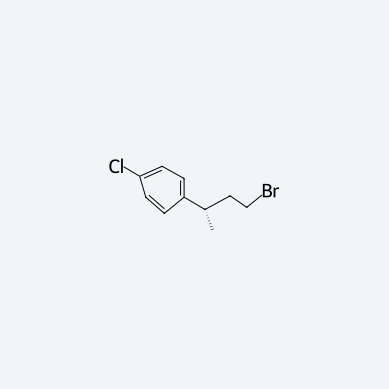 C[C@@H](CCBr)c1ccc(Cl)cc1